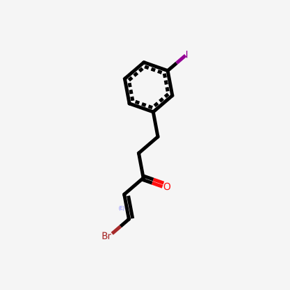 O=C(/C=C/Br)CCc1cccc(I)c1